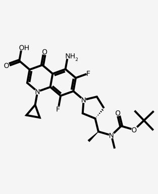 C[C@@H]([C@H]1CCN(c2c(F)c(N)c3c(=O)c(C(=O)O)cn(C4CC4)c3c2F)C1)N(C)C(=O)OC(C)(C)C